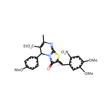 CCOC(=O)C1=C(C)N=c2s/c(=C\c3cc(OC)c(OC)cc3[N+](=O)[O-])c(=O)n2C1c1ccc(OC)cc1